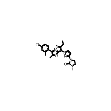 CCc1nn2c(-c3ccc(Cl)cc3C)c(C)oc2c1-n1ccc(N2CCNC2=O)n1